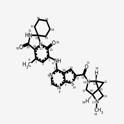 Cc1cc(Nc2ncnc3sc(C(=O)N4C[C@@H]5N(C)CC56C[C@@H]46)cc23)c(=O)n2c1C(=O)NC21CCCCC1